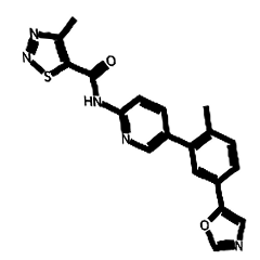 Cc1ccc(-c2cnco2)cc1-c1ccc(NC(=O)c2snnc2C)nc1